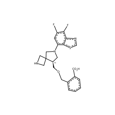 O=C(O)c1ccccc1COC[C@@H]1CN(c2cc(F)c(F)c3ncsc23)CC12CNC2